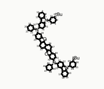 CC(C)(C)c1cccc(-n2c3ccccc3c3cc(N(c4ccccc4)c4ccc5c(c4)oc4c5ccc5c4ccc4c6ccc(N(c7ccccc7)c7ccc8c(c7)c7ccccc7n8-c7cccc(C(C)(C)C)c7)cc6oc45)ccc32)c1